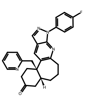 O=C1CC[C@]2(Cc3ccccn3)c3cc4cnn(-c5ccc(F)cc5)c4nc3CCC[C@@H]2C1